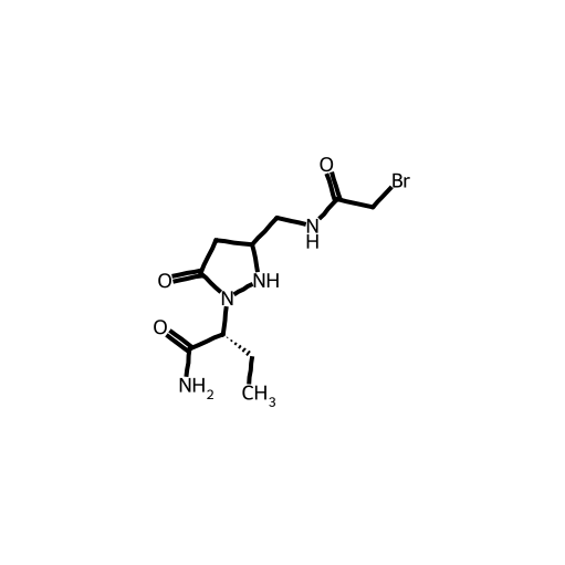 CC[C@H](C(N)=O)N1NC(CNC(=O)CBr)CC1=O